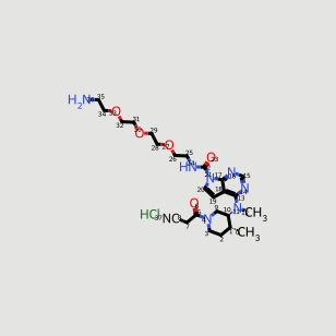 C[C@@H]1CCN(C(=O)CC#N)C[C@@H]1N(C)c1ncnc2c1ccn2C(=O)NCCOCCOCCOCCN.Cl